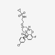 O=S(=O)(NCCO[C@@H]1CC[C@@]2(S(=O)(=O)c3ccc(Cl)cc3)c3c(F)ccc(F)c3OC[C@H]2C1)C1CC1